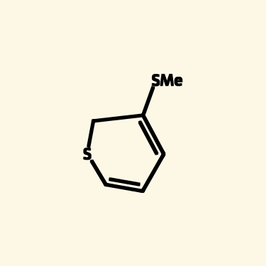 CSC1=CC=CSC1